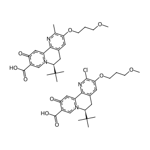 COCCCOc1cc2c(nc1C)-c1cc(=O)c(C(=O)O)cn1[C@H](C(C)(C)C)C2.COCCCOc1cc2c(nc1Cl)-c1cc(=O)c(C(=O)O)cn1[C@H](C(C)(C)C)C2